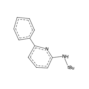 CC(C)(C)Nc1cccc(-c2ccccc2)n1